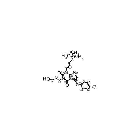 C[Si](C)(C)CCOCn1c(=O)n(CCCO)c(=O)c2c1ncn2Cc1ccc(Cl)cc1